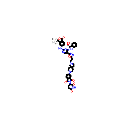 CC1(C)OC(=O)c2ccc(Nc3ncc(-c4nnc(CCN5CCC6(CCN(c7ccc8c(c7)C(=O)N(C7CCC(=O)NC7=O)C8=O)CC6)C5)o4)c(N[C@H](CO)c4ccccc4)n3)cc21